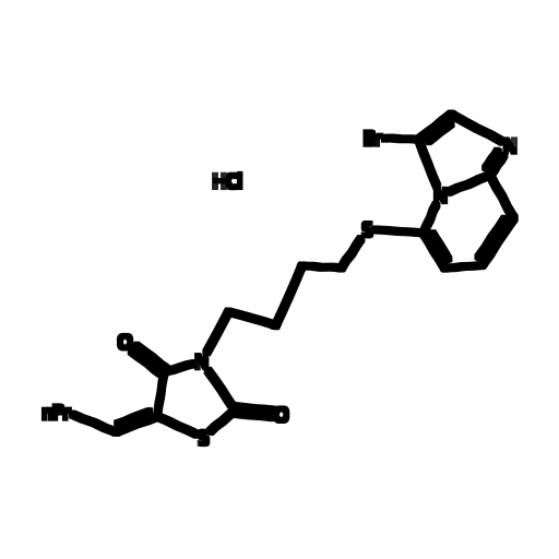 CCCC=C1SC(=O)N(CCCCSc2cccc3ncc(Br)n23)C1=O.Cl